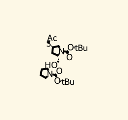 CC(=O)S[C@H]1C[C@@H](CO)N(C(=O)OC(C)(C)C)C1.CC(C)(C)OC(=O)N1CCCC1